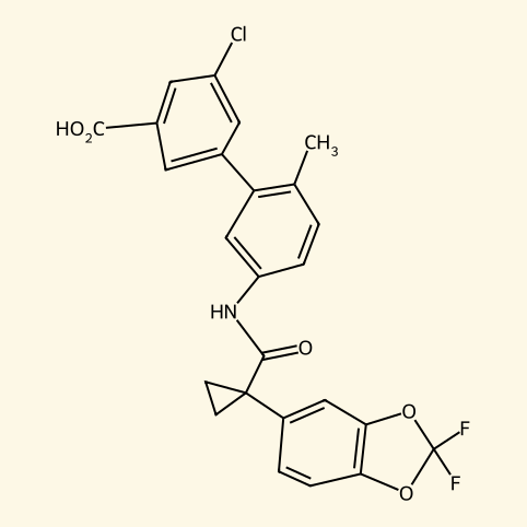 Cc1ccc(NC(=O)C2(c3ccc4c(c3)OC(F)(F)O4)CC2)cc1-c1cc(Cl)cc(C(=O)O)c1